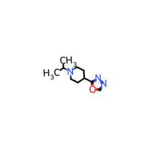 CC(C)N1CCC(c2nnco2)CC1